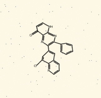 O=c1cc[nH]c2nc(-c3ccccc3)c(-c3cc(Cl)c4ncccc4c3)nc12